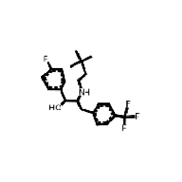 CC(C)(C)CCNC(Cc1ccc(C(F)(F)F)cc1)C(O)c1ccc(F)cc1